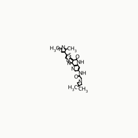 Cc1nn(C)cc1-c1cn2nc3c4ncc(NC(=O)CN5CC(C)(C)C5)cc4[nH]c(=O)c3c2s1